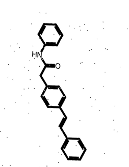 O=C(Cc1ccc(/C=C/c2ccccc2)cc1)Nc1ccccc1